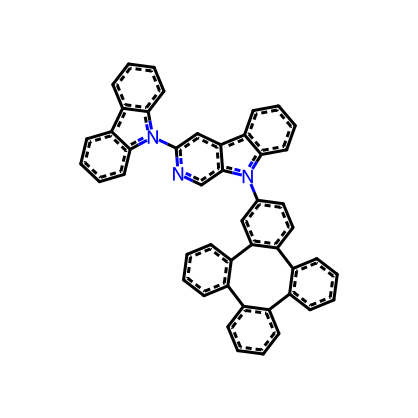 c1ccc2c(c1)-c1ccccc1-c1ccc(-n3c4ccccc4c4cc(-n5c6ccccc6c6ccccc65)ncc43)cc1-c1ccccc1-2